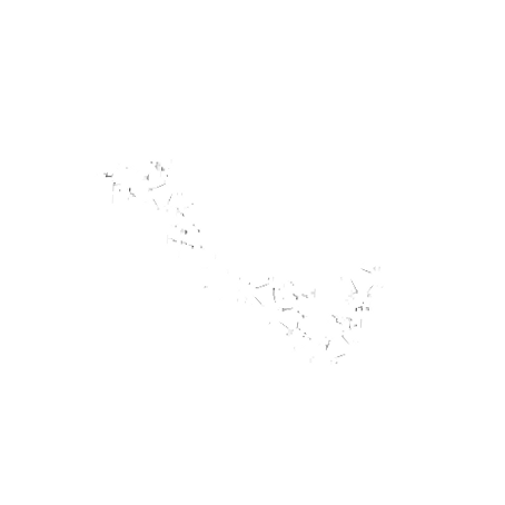 Cc1c(OC2CCC(CCCCN3CCN(c4ccc5c(C6CCC(=O)NC6=O)nn(C)c5c4)C[C@@H]3C(F)(F)F)CC2)cccc1-c1ccc(N2CCc3cccc(C(=O)Nc4nc5ccccc5s4)c3C2)nc1C(=O)O